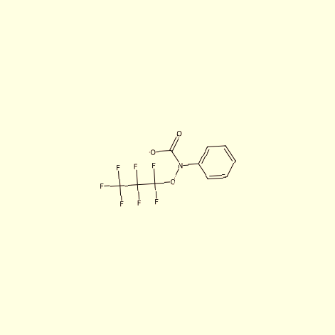 [O]C(=O)N(OC(F)(F)C(F)(F)C(F)(F)F)c1ccccc1